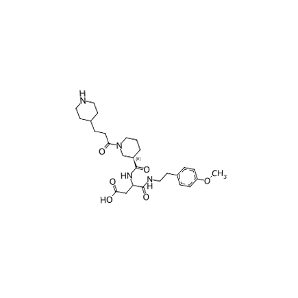 COc1ccc(CCNC(=O)C(CC(=O)O)NC(=O)[C@@H]2CCCN(C(=O)CCC3CCNCC3)C2)cc1